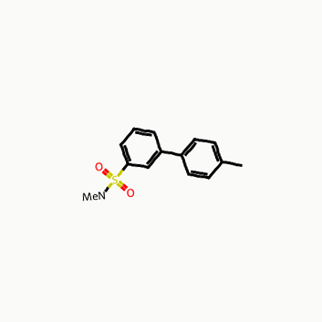 CNS(=O)(=O)c1cccc(-c2ccc(C)cc2)c1